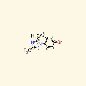 CC(=O)c1cc(Br)ccc1-n1cc(C(F)(F)F)nc1C